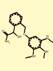 CNc1cc(OCc2ccccc2C(O)C(N)=O)cc(NC)c1NC